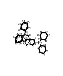 CN1C[C@@H](P(C2CCCCC2)C2CCCCC2)C[C@@]1(CP(c1ccccc1)c1ccccc1)C(N)=O